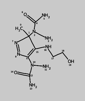 CC1(N(N)C(N)=O)N=NC(N(N)C(N)=O)=C1NCCO